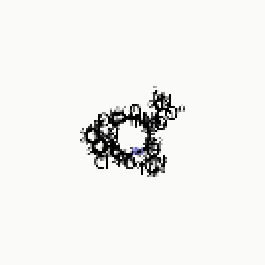 COc1nn(C)cc1C(=O)N[S@@]1(=O)=NC(=O)c2ccc3c(c2)N(C[C@@H]2CC[C@H]2[C@@H](OC)/C=C/[C@H](Oc2cnccn2)[C@H](C)C1)C[C@@]1(CCCc2cc(Cl)ccc21)CO3